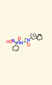 O=C(O)/C(=C\c1ccccc1)N1CC(NC(=O)/C(=N/O)c2ccccc2)C1=O